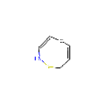 C1=C\CSN/C=C\C/1